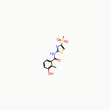 Cc1c(O)cccc1C(=O)Nc1nc(S(C)(=O)=O)cs1